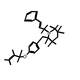 CC(C)=C(C)C(C)(C)Oc1ccc(CC2(C)N(C(C)(C)C=Cc3ccccc3)C(C)(C)C(C)(C)CC2(C)C)cc1